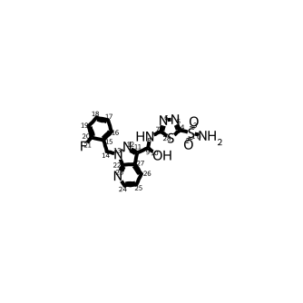 NS(=O)(=O)c1nnc(NC(O)c2nn(Cc3ccccc3F)c3ncccc23)s1